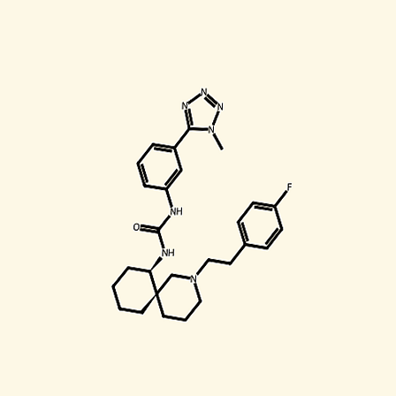 Cn1nnnc1-c1cccc(NC(=O)N[C@@H]2CCCC[C@@]23CCCN(CCc2ccc(F)cc2)C3)c1